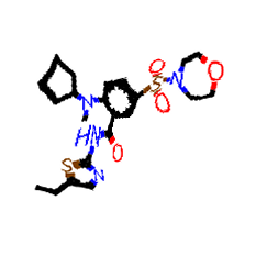 CCc1cnc(NC(=O)c2cc(S(=O)(=O)N3CCOCC3)ccc2N(C)C2CCCC2)s1